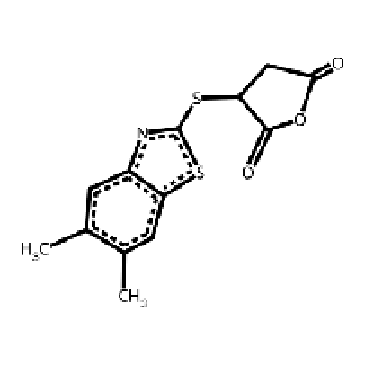 Cc1cc2nc(SC3CC(=O)OC3=O)sc2cc1C